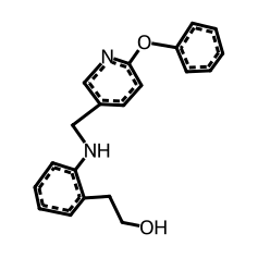 OCCc1ccccc1NCc1ccc(Oc2ccccc2)nc1